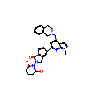 Cn1ccc2c(CN3CCc4ccccc4C3)cc(-c3ccc4c(c3)CN(N3C(=O)CCCC3=O)C4=O)nc21